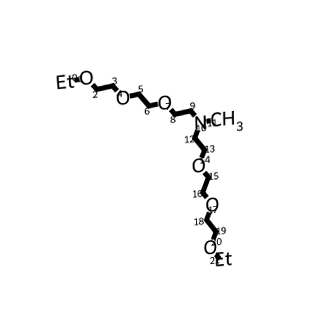 CCOCCOCCOCCN(C)CCOCCOCCOCC